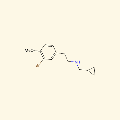 COc1ccc(CCNCC2CC2)cc1Br